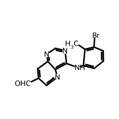 Cc1c(Br)cccc1Nc1ncnc2cc(C=O)cnc12